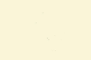 CCC(C)(C)C(=O)N(CO)COC12CC3CC(CC(C3)C1)C2